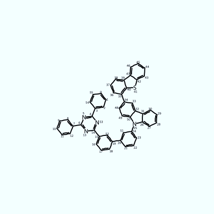 c1ccc(-c2nc(-c3ccccc3)nc(-c3cccc(-c4cccc(-n5c6ccccc6c6cc(-c7cccc8c7sc7ccccc78)ccc65)c4)c3)n2)cc1